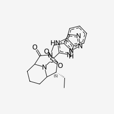 CC[C@H]1CN(Cc2cnn[nH]2)C(=O)C2CCCC1N2S(=O)(=O)c1nc2ccccc2[nH]1